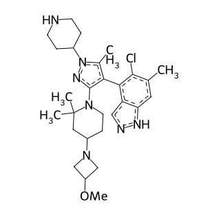 COC1CN(C2CCN(c3nn(C4CCNCC4)c(C)c3-c3c(Cl)c(C)cc4[nH]ncc34)C(C)(C)C2)C1